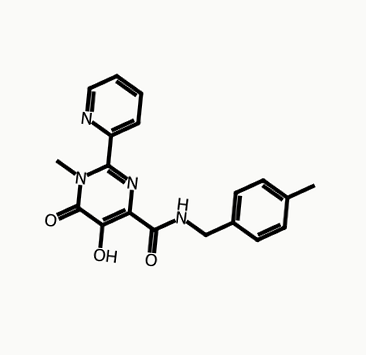 Cc1ccc(CNC(=O)c2nc(-c3ccccn3)n(C)c(=O)c2O)cc1